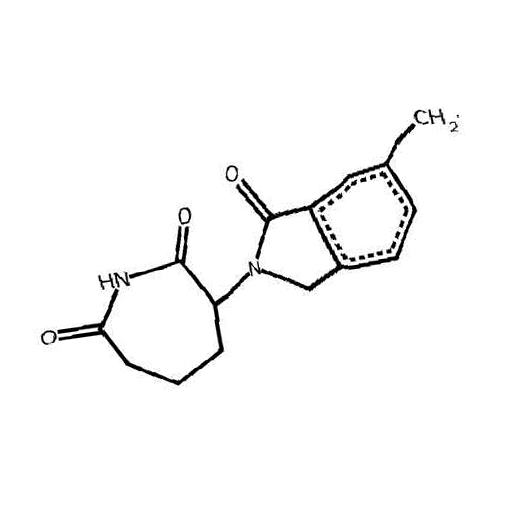 [CH2]c1ccc2c(c1)C(=O)N(C1CCCC(=O)NC1=O)C2